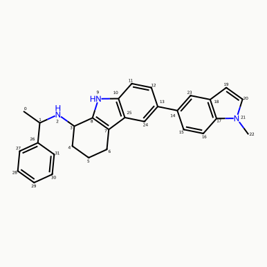 CC(NC1CCCc2c1[nH]c1ccc(-c3ccc4c(ccn4C)c3)cc21)c1ccccc1